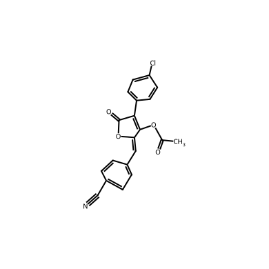 CC(=O)OC1=C(c2ccc(Cl)cc2)C(=O)OC1=Cc1ccc(C#N)cc1